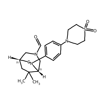 CC1(C)C[C@@H]2CN(C=O)C[C@H]1N(c1ccc(N3CCS(=O)(=O)CC3)cc1)C2